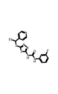 CCC(Sc1nnc(NC(=O)Nc2cccc(F)c2)s1)c1ccncc1